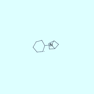 [CH]1CCCCC1N1C2CCC1C2